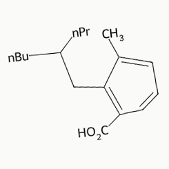 CCCCC(CCC)Cc1c(C)cccc1C(=O)O